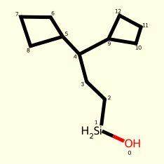 O[SiH2]CCC(C1CCC1)C1CCC1